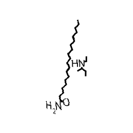 CCCCCCCCCCCCCCCCCCCC(N)=O.CCNC(C)CC